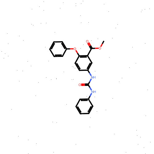 COC(=O)c1cc(NC(=O)Nc2ccccc2)ccc1Oc1ccccc1